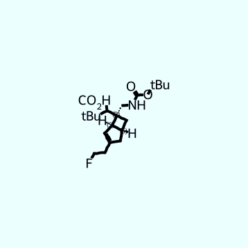 CC(C)(C)OC(=O)NC[C@]1(C(C(=O)O)C(C)(C)C)C[C@@H]2CC(CCF)=C[C@H]21